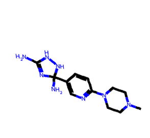 CN1CCN(c2ccc(C3(N)N=C(N)NN3)cn2)CC1